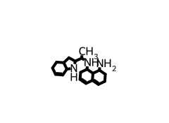 CC(NC1CC=CC2=CCCC(N)C21)C1CC2CCC=CC2N1